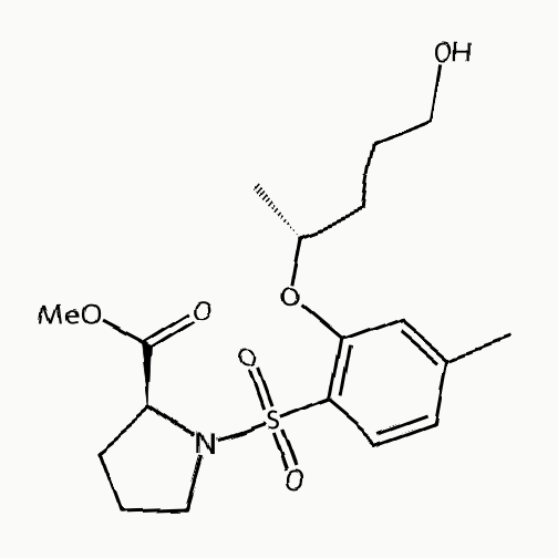 COC(=O)[C@@H]1CCCN1S(=O)(=O)c1ccc(C)cc1O[C@H](C)CCCO